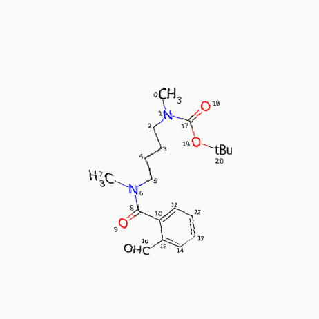 CN(CCCCN(C)C(=O)c1ccccc1C=O)C(=O)OC(C)(C)C